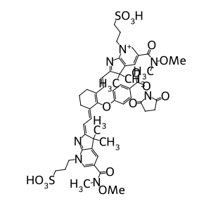 CON(C)C(=O)C1=CN(CCCS(=O)(=O)O)C2=N/C(=C/C=C3\CCCC(/C=C/C4=Nc5c(cc(C(=O)N(C)OC)c[n+]5CCCS(=O)(=O)O)C4(C)C)=C3Oc3ccc(C(=O)ON4C(=O)CCC4=O)cc3)C(C)(C)C2=C1